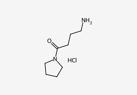 Cl.NCCCC(=O)N1CCCC1